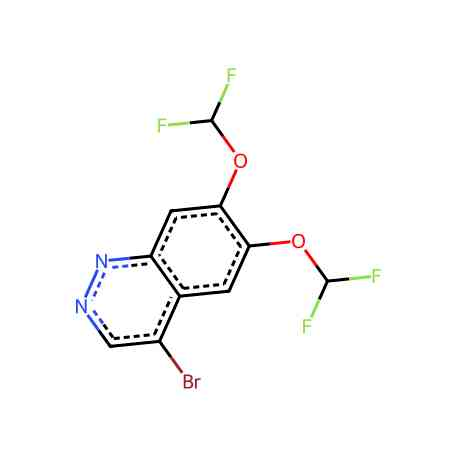 FC(F)Oc1cc2nncc(Br)c2cc1OC(F)F